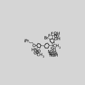 CC(C)CCOc1ccc(-c2ccc(C(C)(S)c3ccc(C(F)(F)P(=O)(O)O)c(Br)c3)cc2)cc1NS(C)(=O)=O.[NaH].[NaH].[NaH]